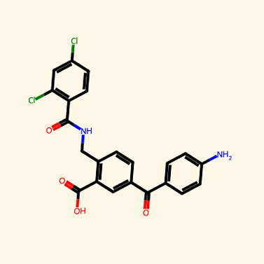 Nc1ccc(C(=O)c2ccc(CNC(=O)c3ccc(Cl)cc3Cl)c(C(=O)O)c2)cc1